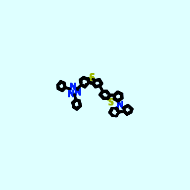 C1=Cc2c(c3ccccc3n2-c2cccc3c2sc2ccc(-c4ccc5sc6ccc(-c7nc(-c8ccccc8)nc(-c8ccccc8)n7)cc6c5c4)cc23)CC1